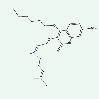 CCCCCCOc1c(OCC=C(C)CCC=C(C)C)c(=O)[nH]c2cc(N)ccc12